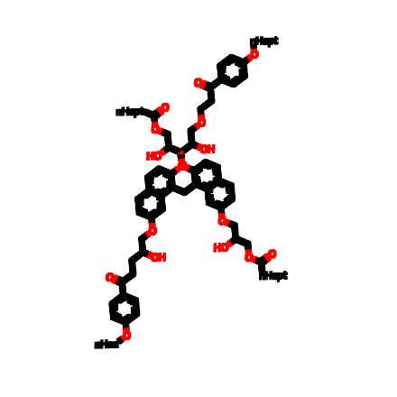 CCCCCCCOc1ccc(C(=O)CCOCC(O)COc2ccc3ccc(OCC(O)CCC(=O)c4ccc(OCCCCCC)cc4)cc3c2Cc2c(OCC(O)COC(=O)CCCCCCC)ccc3ccc(OCC(O)COC(=O)CCCCCCC)cc23)cc1